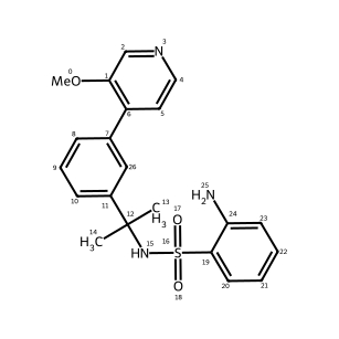 COc1cnccc1-c1cccc(C(C)(C)NS(=O)(=O)c2ccccc2N)c1